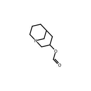 O=COC1CC2CCCN(C2)C1